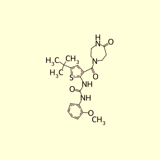 COc1ccccc1NC(=O)Nc1sc(C(C)(C)C)cc1C(=O)N1CCNC(=O)CC1